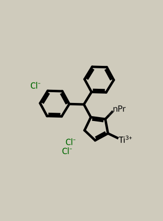 CCCC1=C(C(c2ccccc2)c2ccccc2)CC=[C]1[Ti+3].[Cl-].[Cl-].[Cl-]